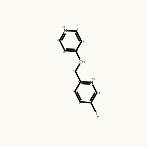 Ic1ccc(COc2ccncc2)nc1